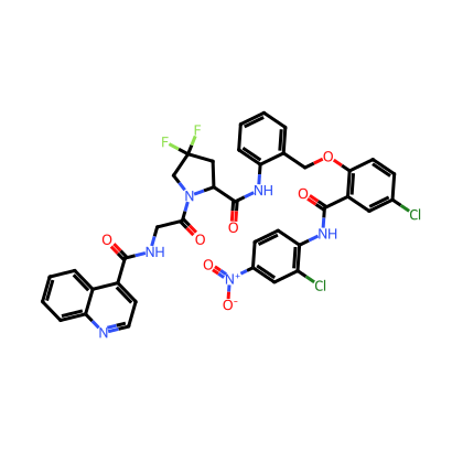 O=C(Nc1ccc([N+](=O)[O-])cc1Cl)c1cc(Cl)ccc1OCc1ccccc1NC(=O)C1CC(F)(F)CN1C(=O)CNC(=O)c1ccnc2ccccc12